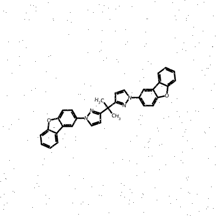 CC(C)(c1ccn(-c2ccc3oc4ccccc4c3c2)n1)c1ccn(-c2ccc3oc4ccccc4c3c2)n1